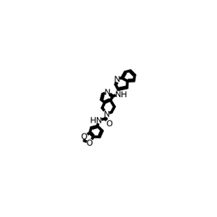 O=C(Nc1ccc2c(c1)OCO2)N1CCc2c(ccnc2Nc2cnc3ccccc3c2)C1